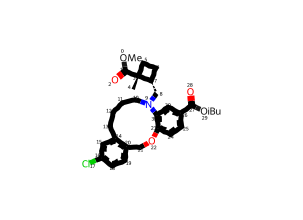 COC(=O)[C@]1(C)CC[C@@H]1CN1CCCCc2cc(Cl)ccc2COc2ccc(C(=O)OCC(C)C)cc21